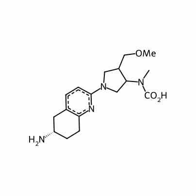 COCC1CN(c2ccc3c(n2)CC[C@H](N)C3)CC1N(C)C(=O)O